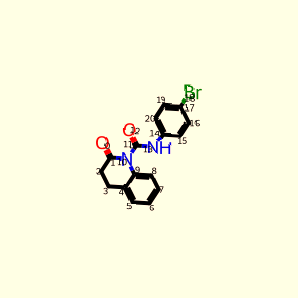 O=C1CCc2ccccc2N1C(=O)Nc1ccc(Br)cc1